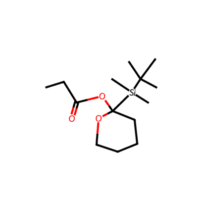 CCC(=O)OC1([Si](C)(C)C(C)(C)C)CCCCO1